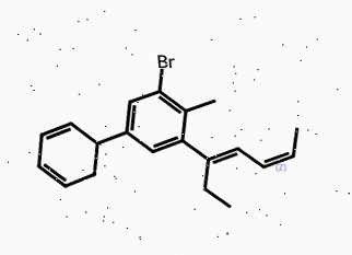 C/C=C\C=C(CC)c1cc(C2C=CC=CC2)cc(Br)c1C